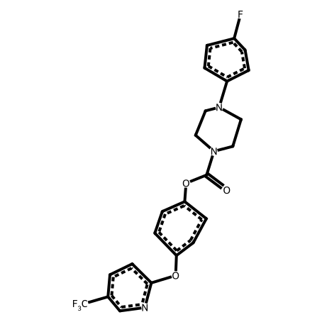 O=C(Oc1ccc(Oc2ccc(C(F)(F)F)cn2)cc1)N1CCN(c2ccc(F)cc2)CC1